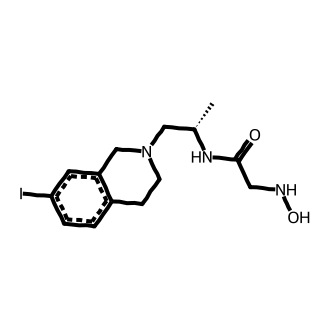 C[C@@H](CN1CCc2ccc(I)cc2C1)NC(=O)CNO